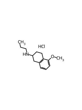 CCCNC1CCc2c(cccc2OC)C1.Cl